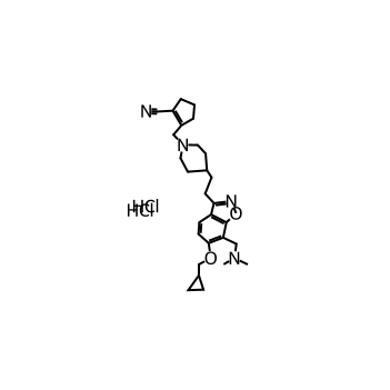 CN(C)Cc1c(OCC2CC2)ccc2c(CCC3CCN(CC4=C(C#N)CCC4)CC3)noc12.Cl.Cl